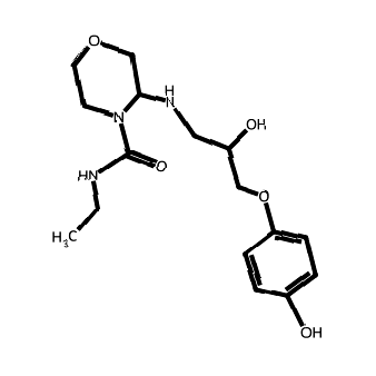 CCNC(=O)N1CCOCC1NCC(O)COc1ccc(O)cc1